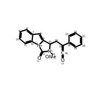 CON1C(=O)n2c(cc3ccccc32)C1CC(=C=O)c1ccccc1